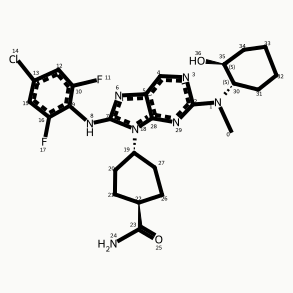 CN(c1ncc2nc(Nc3c(F)cc(Cl)cc3F)n([C@H]3CC[C@H](C(N)=O)CC3)c2n1)[C@H]1CCCC[C@@H]1O